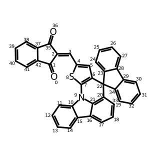 O=C1C(=Cc2cc3c(s2)-n2c4ccccc4c4cccc(c42)C32c3ccccc3-c3ccccc32)C(=O)c2ccccc21